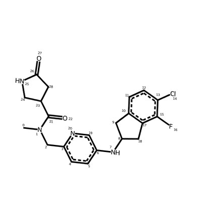 CN(Cc1ccc(NC2Cc3ccc(Cl)c(F)c3C2)cn1)C(=O)C1CNC(=O)C1